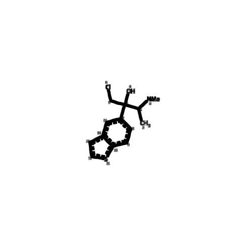 CNC(C)C(O)(CCl)c1ccc2sccc2c1